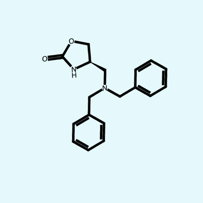 O=C1N[C@H](CN(Cc2ccccc2)Cc2ccccc2)CO1